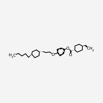 C=C[C@H]1CC[C@H](C(=O)Oc2ccc(OCCC[C@H]3CC[C@H](CCCCC)CC3)cc2)CC1